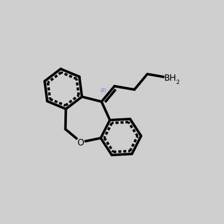 BCC/C=C1/c2ccccc2COc2ccccc21